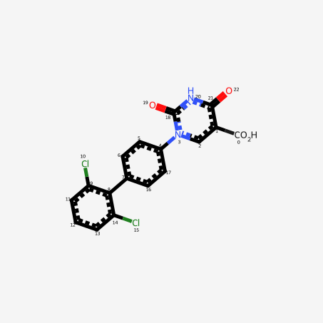 O=C(O)c1cn(-c2ccc(-c3c(Cl)cccc3Cl)cc2)c(=O)[nH]c1=O